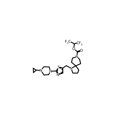 O=C(OC(C(F)(F)F)C(F)(F)F)N1CCC2(CCCN2Cc2cnc(N3CCN(C4CC4)CC3)s2)CC1